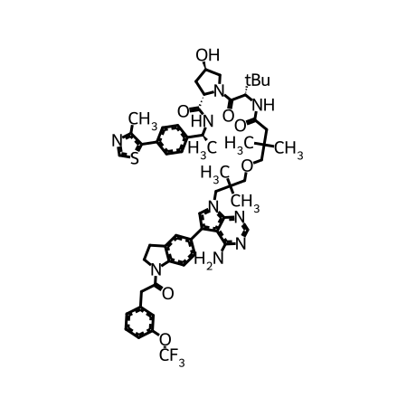 Cc1ncsc1-c1ccc([C@H](C)NC(=O)[C@@H]2C[C@@H](O)CN2C(=O)[C@@H](NC(=O)CC(C)(C)COCC(C)(C)Cn2cc(-c3ccc4c(c3)CCN4C(=O)Cc3cccc(OC(F)(F)F)c3)c3c(N)ncnc32)C(C)(C)C)cc1